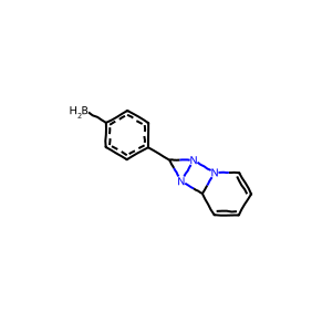 Bc1ccc(C2N3C4C=CC=CN4N23)cc1